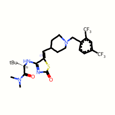 CN(C)C(=O)[C@@H](NC1=NC(=O)S/C1=C\C1CCN(Cc2ccc(C(F)(F)F)cc2C(F)(F)F)CC1)C(C)(C)C